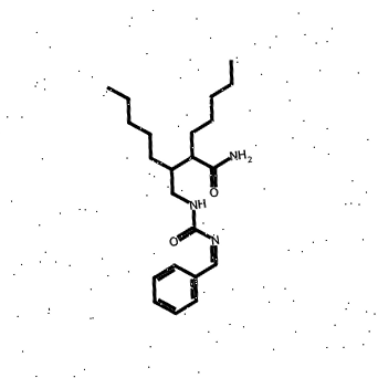 CCCCCC(CNC(=O)/N=C\c1ccccc1)C(CCCCC)C(N)=O